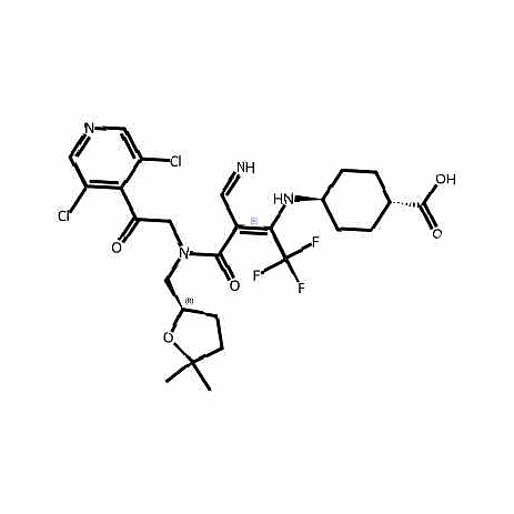 CC1(C)CC[C@H](CN(CC(=O)c2c(Cl)cncc2Cl)C(=O)/C(C=N)=C(/N[C@H]2CC[C@H](C(=O)O)CC2)C(F)(F)F)O1